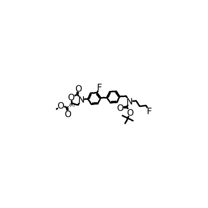 COC(=O)[C@H]1CN(c2ccc(-c3ccc(CN(CCCF)C(=O)OC(C)(C)C)cc3)c(F)c2)C(=O)O1